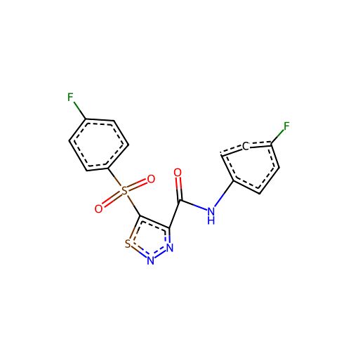 O=C(Nc1ccc(F)cc1)c1nnsc1S(=O)(=O)c1ccc(F)cc1